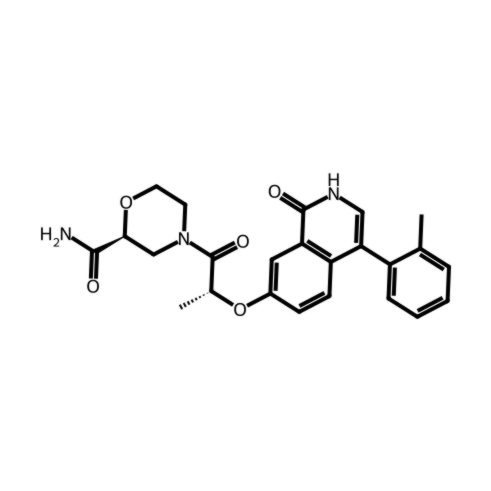 Cc1ccccc1-c1c[nH]c(=O)c2cc(O[C@H](C)C(=O)N3CCO[C@H](C(N)=O)C3)ccc12